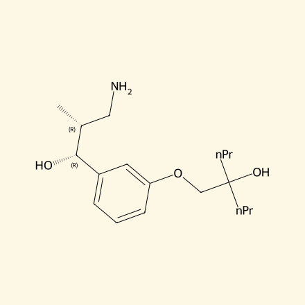 CCCC(O)(CCC)COc1cccc([C@H](O)[C@H](C)CN)c1